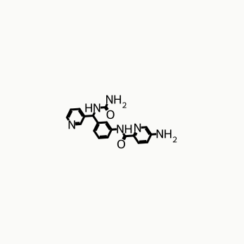 NC(=O)NC(c1cccnc1)c1cccc(NC(=O)c2ccc(N)cn2)c1